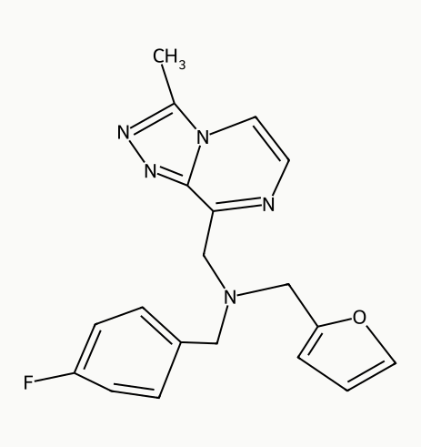 Cc1nnc2c(CN(Cc3ccc(F)cc3)Cc3ccco3)nccn12